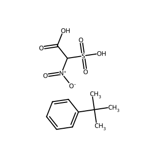 CC(C)(C)c1ccccc1.O=C(O)C([N+](=O)[O-])S(=O)(=O)O